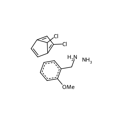 COc1ccccc1CN.ClC1=C2C=CC(=C1)C2Cl.N